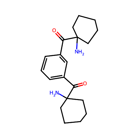 NC1(C(=O)c2cccc(C(=O)C3(N)CCCCC3)c2)CCCCC1